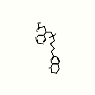 O=C(O)CC(CC(F)(F)CCCCc1ccc2c(n1)NCCC2)c1cncnc1